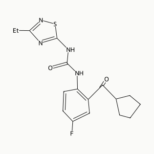 CCc1nsc(NC(=O)Nc2ccc(F)cc2C(=O)C2CCCC2)n1